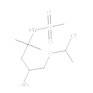 CCCC(COC(C)C(F)(F)F)CC(C)(C)NS(C)(=O)=O